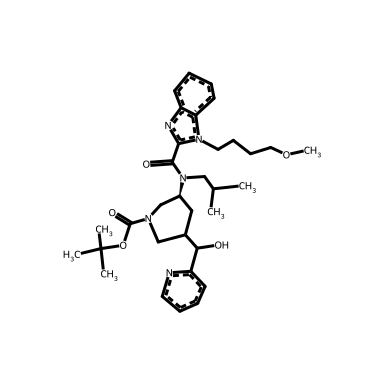 COCCCCn1c(C(=O)N(CC(C)C)[C@H]2CC(C(O)c3ccccn3)CN(C(=O)OC(C)(C)C)C2)nc2ccccc21